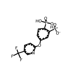 O=[N+]([O-])c1cc(Oc2ccc(C(F)(F)F)cn2)ccc1P(=O)(O)O